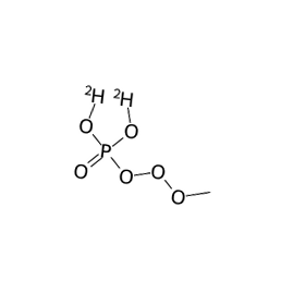 [2H]OP(=O)(O[2H])OOOC